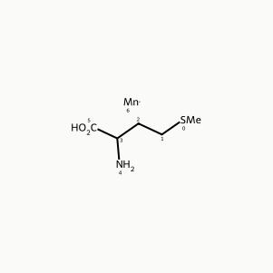 CSCCC(N)C(=O)O.[Mn]